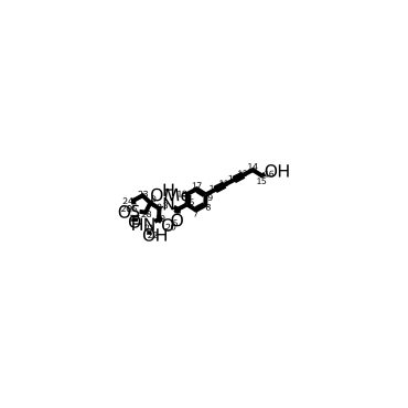 CO[C@@]1([C@H](NC(=O)c2ccc(C#CC#CCCO)cc2)C(=O)NO)CCS(=O)(=O)C1